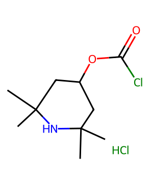 CC1(C)CC(OC(=O)Cl)CC(C)(C)N1.Cl